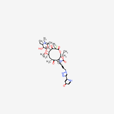 CCO[C@@H](O[C@@H]1[C@@H](C)C(=O)[C@](C)(F)C(=O)O[C@H](CC)[C@@]2(C)OC(=O)N(CC#CCn3cc(-c4cc(=O)cc[nH]4)nn3)[C@@H]2[C@@H](C)C(=O)[C@H](C)C[C@@]1(C)OC)C(O)C(CC)N(C)C